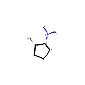 C[C@H]1CCC[C@H]1N(C)C